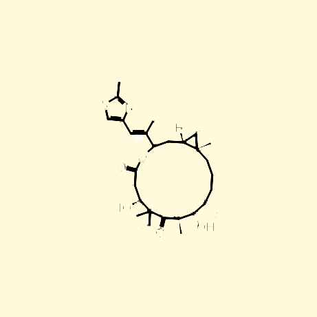 C/C(=C\c1csc(C)n1)C1C[C@@H]2C[C@]2(C)CCC[C@H](C)[C@H](O)[C@@H](C)C(=O)C(C)(C)[C@@H](O)CC(=O)O1